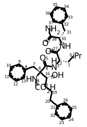 CC(C)C[C@H](NC(=O)[C@@](Cc1ccccc1)(NC(=O)O)[C@H](O)CCCc1ccccc1)C(=O)N[C@@H](Cc1ccccc1)C(N)=O